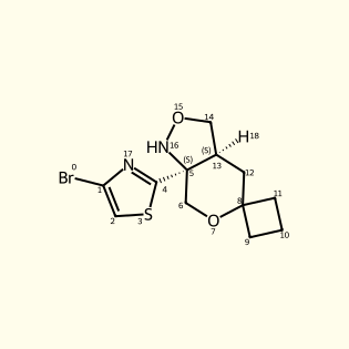 Brc1csc([C@@]23COC4(CCC4)C[C@@H]2CON3)n1